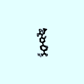 CC(=O)N(CC1CC1)c1ccc(-c2ccc(C(N)=O)cn2)cc1F